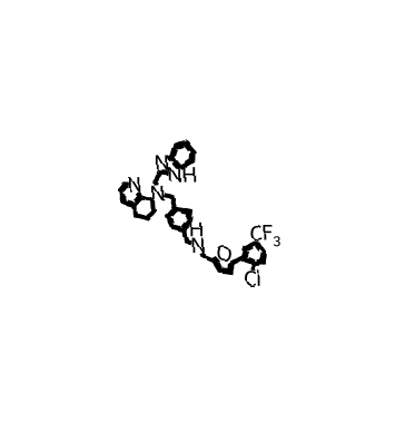 FC(F)(F)c1ccc(Cl)c(-c2ccc(CNCc3ccc(CN(Cc4nc5ccccc5[nH]4)C4CCCc5cccnc54)cc3)o2)c1